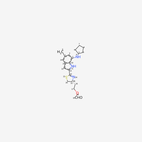 Cc1cc(NC2CCCC2)c2[nH]c(C3=N[C@H](CCOC=O)CS3)cc2c1